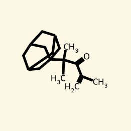 C=C(C)C(=O)C(C)(C)C12CC3CC(CC(C3)C1)C2